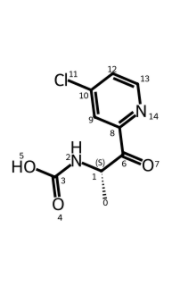 C[C@H](NC(=O)O)C(=O)c1cc(Cl)ccn1